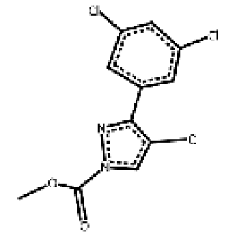 COC(=O)n1cc(Cl)c(-c2cc(Cl)cc(Cl)c2)n1